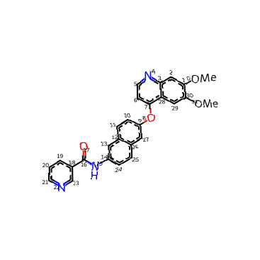 COc1cc2nccc(Oc3ccc4cc(NC(=O)c5cccnc5)ccc4c3)c2cc1OC